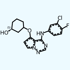 O[C@H]1CCCC(Oc2ccn3ncnc(Nc4ccc(F)c(Cl)c4)c23)C1